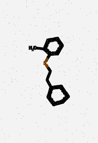 Cc1ccccc1SCCc1ccccc1